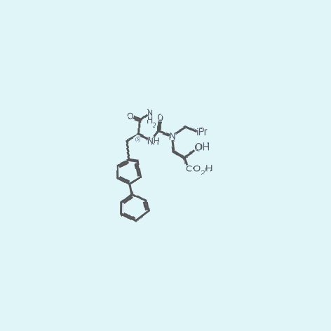 CC(C)CN(CC(O)C(=O)O)C(=O)N[C@@H](Cc1ccc(-c2ccccc2)cc1)C(N)=O